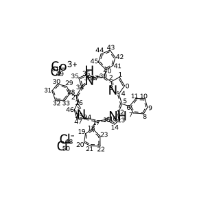 C1=Cc2nc1c(-c1ccccc1)c1ccc([nH]1)c(-c1ccccc1)c1nc(c(-c3ccccc3)c3ccc([nH]3)c2-c2ccccc2)C=C1.[Cl-].[Cl-].[Cl-].[Co+3]